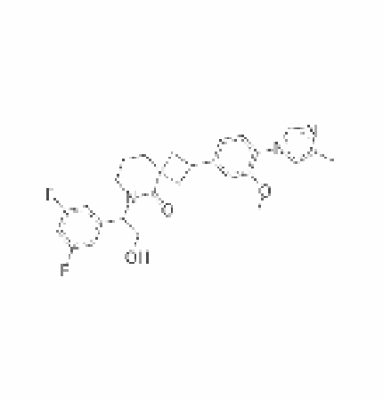 COc1cc(C2CC3(CCCN(C(CO)c4cc(F)cc(F)c4)C3=O)C2)ccc1-n1cnc(C)c1